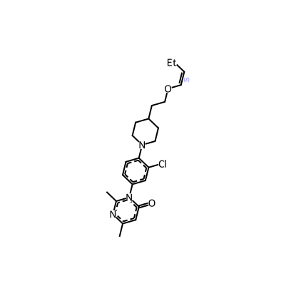 CC/C=C\OCCC1CCN(c2ccc(-n3c(C)nc(C)cc3=O)cc2Cl)CC1